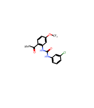 CNC(=O)c1ccc(OC(F)(F)F)cc1NC(=O)Nc1cccc(Cl)c1